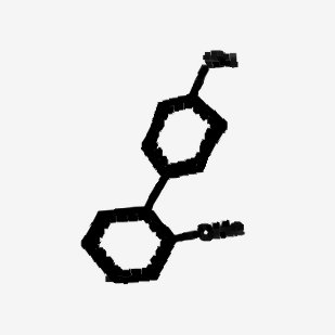 COc1c[c]ccc1-c1ccc(C(C)(C)C)cc1